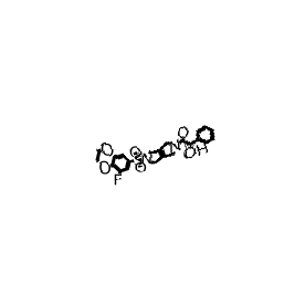 O=C([C@@H](O)c1ccccc1)N1CC2=C(C1)CN(S(=O)(=O)c1cc(F)c3c(c1)OCCO3)C2